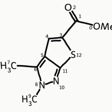 COC(=O)c1cc2c(C)n(C)nc2s1